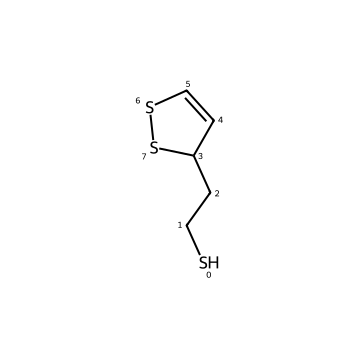 SCCC1C=CSS1